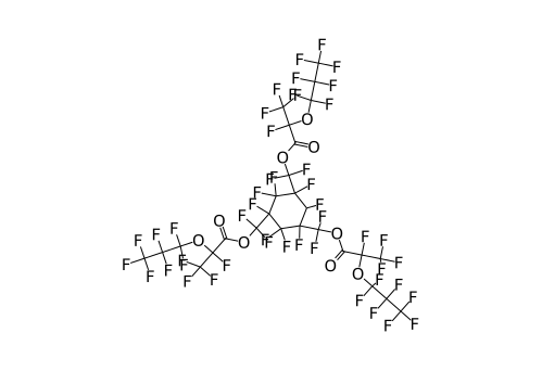 O=C(OC(F)(F)C1(F)C(F)C(F)(C(F)(F)OC(=O)C(F)(OC(F)(F)C(F)(F)C(F)(F)F)C(F)(F)F)C(F)(F)C(F)(C(F)(F)OC(=O)C(F)(OC(F)(F)C(F)(F)C(F)(F)F)C(F)(F)F)C1(F)F)C(F)(OC(F)(F)C(F)(F)C(F)(F)F)C(F)(F)F